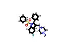 CN1CCN(Cc2c(-c3ccccc3)n(S(=O)(=O)c3ccccc3)c3ccc(F)cc23)CC1